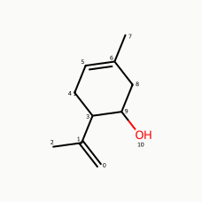 C=C(C)C1[CH]C=C(C)CC1O